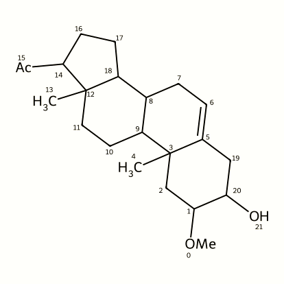 COC1CC2(C)C(=CCC3C2CCC2(C)C(C(C)=O)CCC32)CC1O